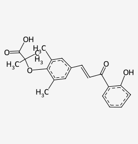 Cc1cc(/C=C/C(=O)c2ccccc2O)cc(C)c1OC(C)(C)C(=O)O